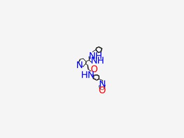 N=C/C(=C\NCc1ccccc1)C1=C(/C=C/C(=O)Nc2ccc(CN3CCOCC3)cc2)C=NC=CC1